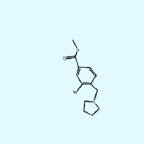 COC(=O)c1ccc(CN2CCCC2)c(Br)c1